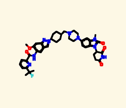 COc1cc2nn([C@H]3CC[C@H](CN4CCN(c5ccc6c(c5)n(C)c(=O)n6C5CCC(=O)NC5=O)CC4)CC3)cc2cc1NC(=O)c1cccc(C(C)(C)F)n1